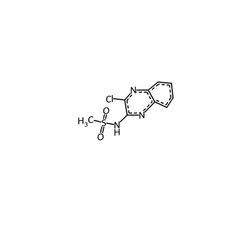 CS(=O)(=O)Nc1nc2ccccc2nc1Cl